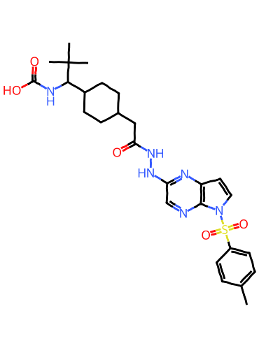 Cc1ccc(S(=O)(=O)n2ccc3nc(NNC(=O)CC4CCC(C(NC(=O)O)C(C)(C)C)CC4)cnc32)cc1